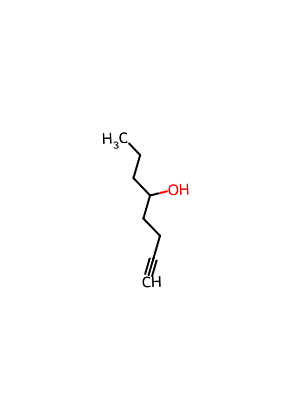 C#CCCC(O)CCC